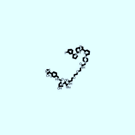 Cc1ncsc1-c1ccc(CNC(=O)[C@@H]2C[C@@H](O)CN2C(=O)C(NC(=O)CCOCCOCCNC(=O)CN2CCN(c3cccc(-c4cnc5ccc(N6CCC[C@@H]6c6cccc(F)c6)nn45)n3)CC2)C(C)(C)C)cc1